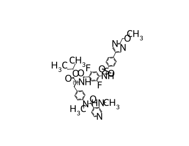 CCC(CC)OC(=O)[C@H](Cc1ccc(N(C)C(=O)c2ccncc2NC)cc1)NC(=O)c1cc(F)c(NS(=O)(=O)c2ccc(-c3cnc(COC)nc3)cc2)cc1F